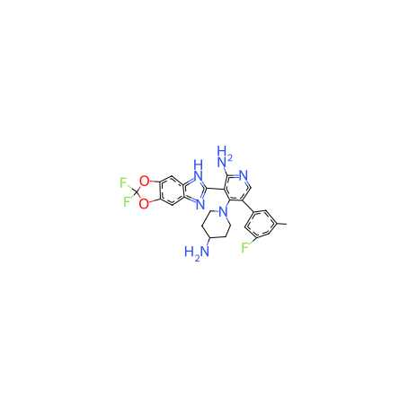 Cc1cc(F)cc(-c2cnc(N)c(-c3nc4cc5c(cc4[nH]3)OC(F)(F)O5)c2N2CCC(N)CC2)c1